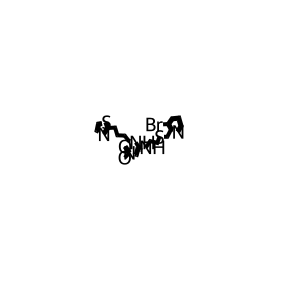 O=[N+]([O-])C=C(NCCCCc1nccs1)NCCSCc1ncccc1Br